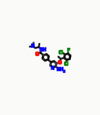 CC(CN(C)C)NC(=O)c1ccc(-c2cnc(N)c(OC(C)c3c(Cl)ccc(F)c3Cl)c2)cc1